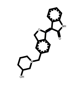 O=C1Nc2ccccc2/C1=C1\OCc2cc(CN3CCCC(O)C3)ccc21